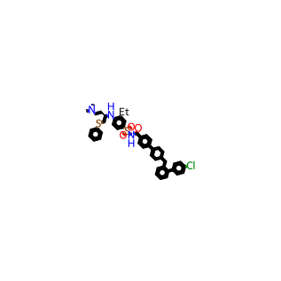 CCc1cc(S(=O)(=O)NC(=O)c2ccc(C3=CCC(Cc4ccccc4-c4ccc(Cl)cc4)CC3)cc2)ccc1N[C@H](CCN(C)C)CSc1ccccc1